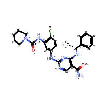 C[C@@H](Nc1nc(Nc2ccc(Cl)c(NC(=O)N3CCCCC3)c2)ncc1C(N)=O)c1ccccc1